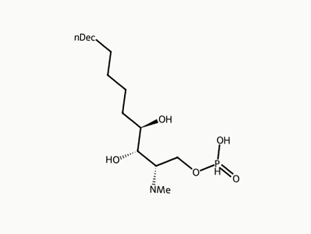 CCCCCCCCCCCCCC[C@@H](O)[C@@H](O)[C@H](CO[PH](=O)O)NC